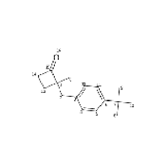 CC1(Cc2ccc(C(C)(C)C)cc2)CCC1=O